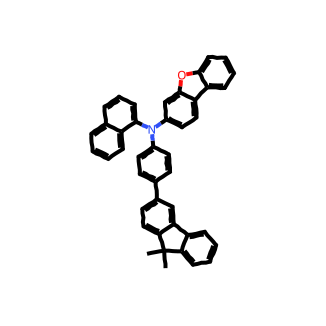 CC1(C)c2ccccc2-c2cc(-c3ccc(N(c4ccc5c(c4)oc4ccccc45)c4cccc5ccccc45)cc3)ccc21